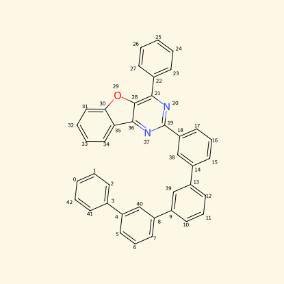 c1ccc(-c2cccc(-c3cccc(-c4cccc(-c5nc(-c6ccccc6)c6oc7ccccc7c6n5)c4)c3)c2)cc1